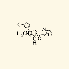 C[C@H]1c2nn(C)c(-c3cccc(Cl)c3)c2CCN1C(=O)c1cnc2ccoc2c1